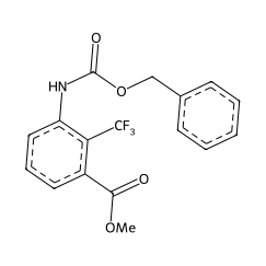 COC(=O)c1cccc(NC(=O)OCc2ccccc2)c1C(F)(F)F